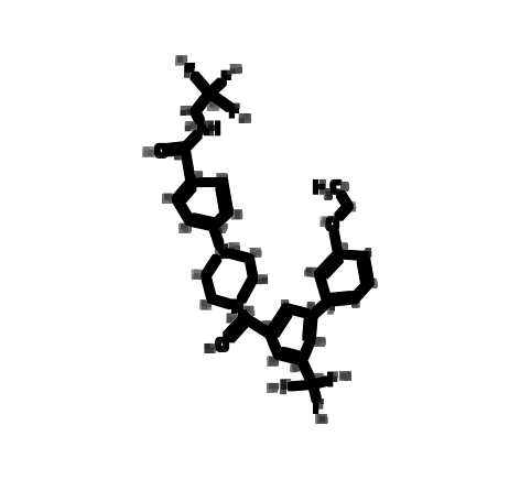 CCOc1cccc(-c2cc(C(=O)N3CCN(c4ccc(C(=O)NCC(F)(F)F)cc4)CC3)cc(C(F)(F)F)c2)c1